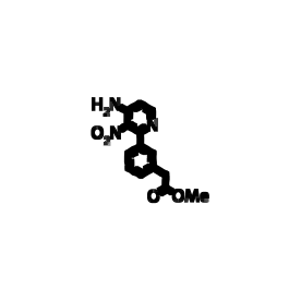 COC(=O)Cc1cccc(-c2nccc(N)c2[N+](=O)[O-])c1